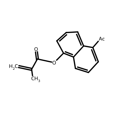 C=C(C)C(=O)Oc1cccc2c(C(C)=O)cccc12